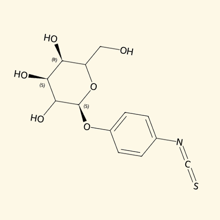 OCC1O[C@@H](Oc2ccc(N=C=S)cc2)C(O)[C@@H](O)[C@H]1O